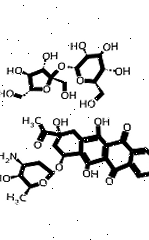 CC(=O)[C@]1(O)Cc2c(O)c3c(c(O)c2[C@@H](O[C@H]2C[C@H](N)[C@H](O)[C@H](C)O2)C1)C(=O)c1ccccc1C3=O.OC[C@H]1O[C@@](CO)(O[C@H]2O[C@H](CO)[C@@H](O)[C@H](O)[C@H]2O)[C@@H](O)[C@@H]1O